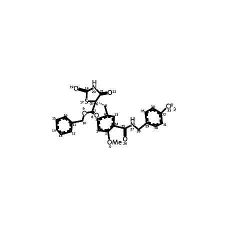 COc1ccc(C[C@]2(C(=O)OCc3ccccc3)SC(=O)NC2=O)cc1C(=O)NCc1ccc(C(F)(F)F)cc1